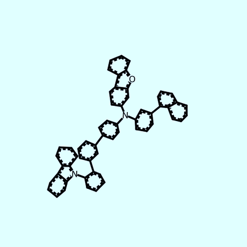 c1cc(-c2ccc(N(c3cccc(-c4cccc5ccccc45)c3)c3ccc4c(c3)oc3ccccc34)cc2)cc(-c2ccccc2-n2c3ccccc3c3ccccc32)c1